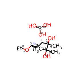 CCO/C=C/CC(C)(O)C(C)(C)O.OB(O)O